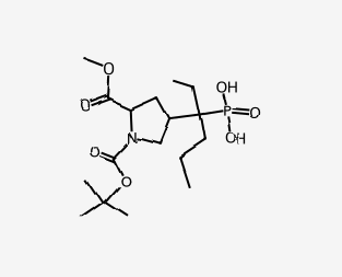 CCCC(CC)(C1CC(C(=O)OC)N(C(=O)OC(C)(C)C)C1)P(=O)(O)O